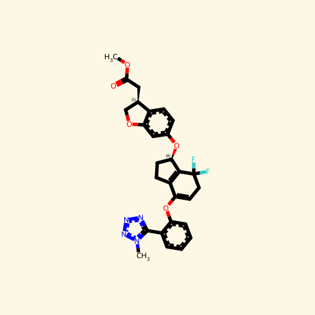 COC(=O)C[C@@H]1COc2cc(O[C@@H]3CCC4=C3C(F)(F)CC=C4Oc3ccccc3-c3nnnn3C)ccc21